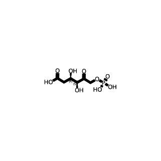 O=C(O)C[C@@H](O)[C@H](O)C(=O)COP(=O)(O)O